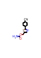 N#Cc1ccc(-c2ncc(COC(N)=O)s2)cc1